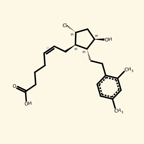 Cc1ccc(CC[C@@H]2[C@@H](C/C=C\CCCC(=O)O)[C@H](Cl)C[C@H]2O)c(C)c1